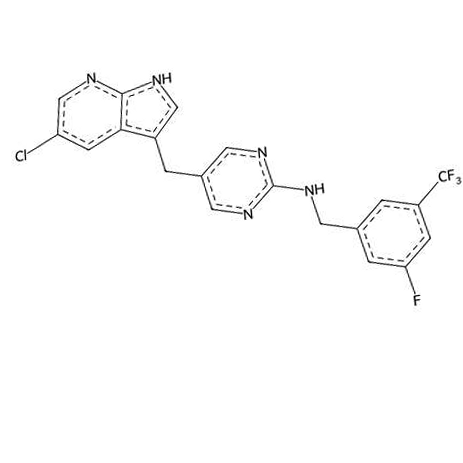 Fc1cc(CNc2ncc(Cc3c[nH]c4ncc(Cl)cc34)cn2)cc(C(F)(F)F)c1